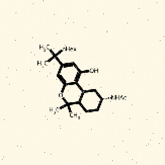 CCCCCCC(C)(C)c1cc(O)c2c(c1)OC(C)(C)C1CC[C@@H](NC(C)=O)CC21